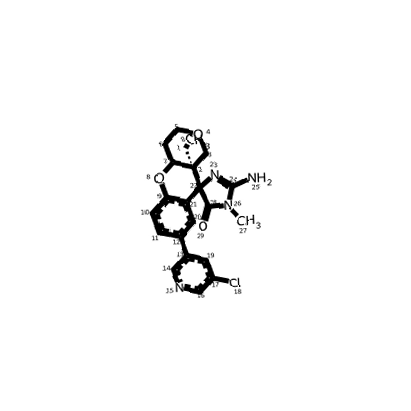 CC[C@@]12COCCC1Oc1ccc(-c3cncc(Cl)c3)cc1C21N=C(N)N(C)C1=O